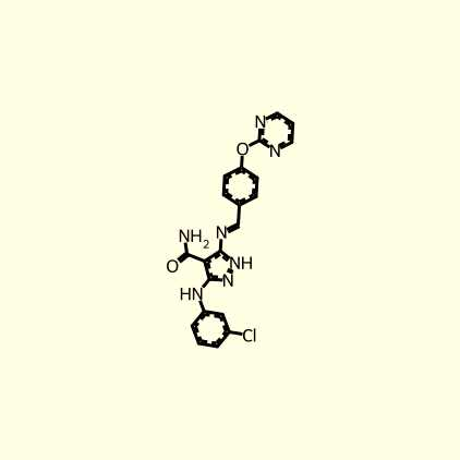 NC(=O)c1c(Nc2cccc(Cl)c2)n[nH]c1N=Cc1ccc(Oc2ncccn2)cc1